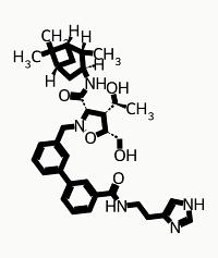 C[C@@H]1[C@@H](NC(=O)[C@@H]2[C@H]([C@H](C)O)[C@H](CO)ON2Cc2cccc(-c3cccc(C(=O)NCCc4c[nH]cn4)c3)c2)C[C@H]2C[C@@H]1C2(C)C